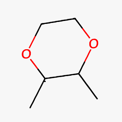 C[C]1OCCOC1C